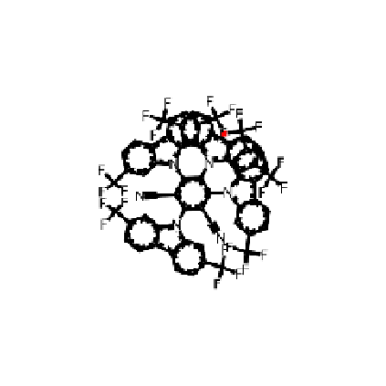 N#Cc1c(-n2c3cc(C(F)(F)F)ccc3c3ccc(C(F)(F)F)cc32)c(C#N)c(-n2c3cc(C(F)(F)F)ccc3c3ccc(C(F)(F)F)cc32)c(-n2c3cc(C(F)(F)F)ccc3c3ccc(C(F)(F)F)cc32)c1-n1c2cc(C(F)(F)F)ccc2c2ccc(C(F)(F)F)cc21